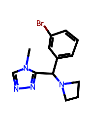 Cn1cnnc1C(c1cccc(Br)c1)N1CCC1